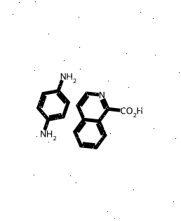 Nc1ccc(N)cc1.O=C(O)c1nccc2ccccc12